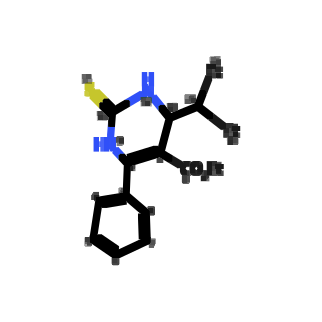 CCOC(=O)C1=C(c2ccccc2)NC(=S)NC1C(CC)CC